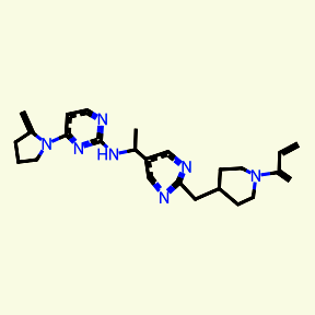 C=CC(=C)N1CCC(Cc2ncc(C(C)Nc3nccc(N4CCCC4=C)n3)cn2)CC1